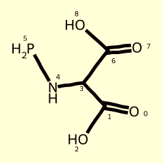 O=C(O)C(NP)C(=O)O